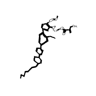 C=C(CO)C(=O)OOOc1cc(-c2ccc(-c3ccc(C4CCC(CCCCCCC)CC4)cc3)cc2CC)ccc1OOC